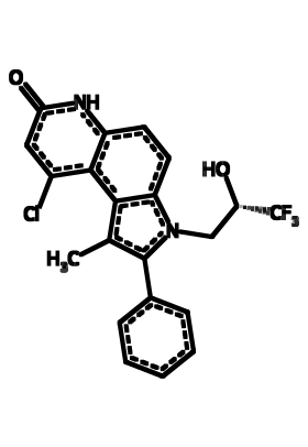 Cc1c(-c2ccccc2)n(C[C@H](O)C(F)(F)F)c2ccc3[nH]c(=O)cc(Cl)c3c12